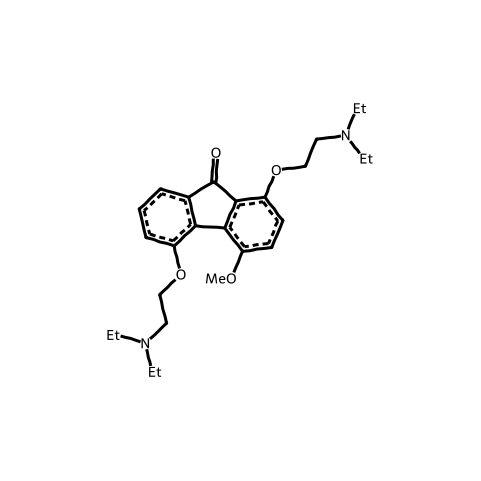 CCN(CC)CCOc1ccc(OC)c2c1C(=O)c1cccc(OCCN(CC)CC)c1-2